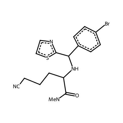 CNC(=O)C(CCCC#N)NC(c1ccc(Br)cc1)c1nccs1